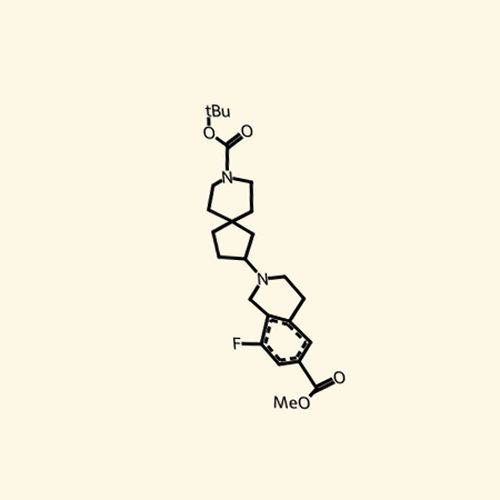 COC(=O)c1cc(F)c2c(c1)CCN(C1CCC3(CCN(C(=O)OC(C)(C)C)CC3)C1)C2